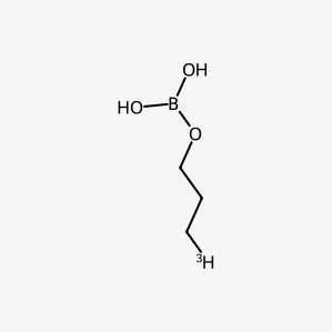 [3H]CCCOB(O)O